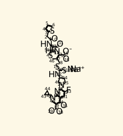 O=C(Cc1cccs1)N[C@@H]1C(=O)N2C(C(=O)[O-])=C(CSC(=S)NC3CCN(c4nc5c(cc4F)c(=O)c(C(=O)[O-])cn5C4CC4)C3)CS[C@H]12.[Na+].[Na+]